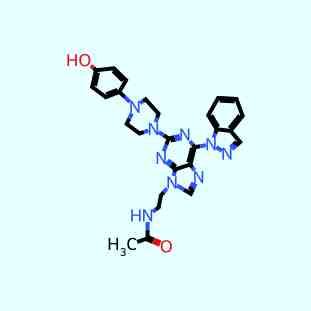 CC(=O)NCCn1cnc2c(-n3ncc4ccccc43)nc(N3CCN(c4ccc(O)cc4)CC3)nc21